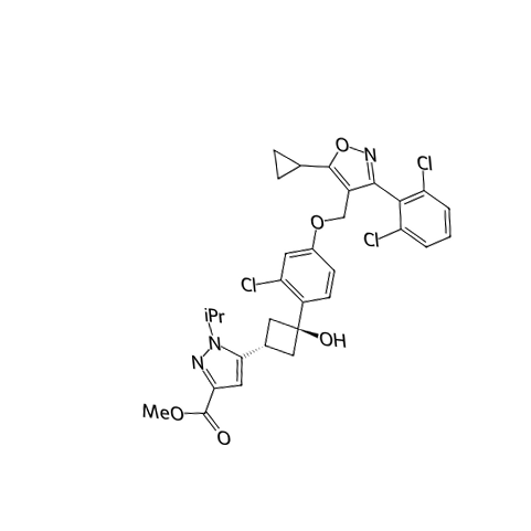 COC(=O)c1cc([C@H]2C[C@@](O)(c3ccc(OCc4c(-c5c(Cl)cccc5Cl)noc4C4CC4)cc3Cl)C2)n(C(C)C)n1